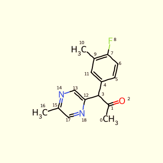 CC(=O)C(c1ccc(F)c(C)c1)c1cnc(C)cn1